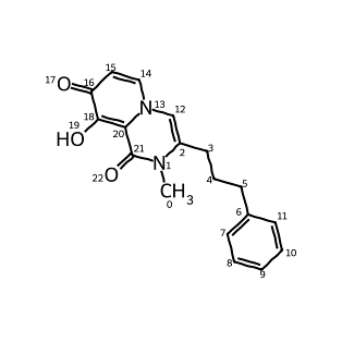 Cn1c(CCCc2ccccc2)cn2ccc(=O)c(O)c2c1=O